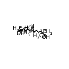 CC(C)(CO)CCCCNCCCCC(C)(C)CO.Cl